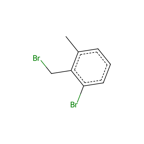 Cc1cccc(Br)c1CBr